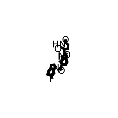 O=C1CCC(c2nc3cc(C(=O)N4CCc5ccc(F)cc54)ccc3o2)C(=O)N1